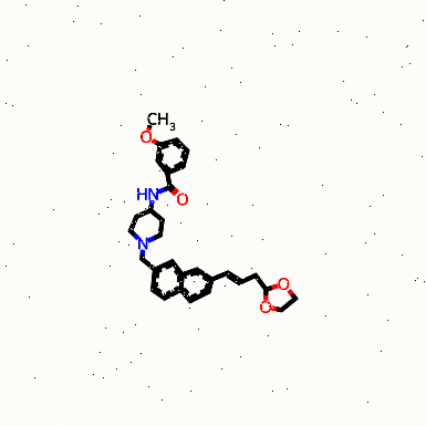 COc1cccc(C(=O)NC2CCN(Cc3ccc4ccc(/C=C/CC5OCCO5)cc4c3)CC2)c1